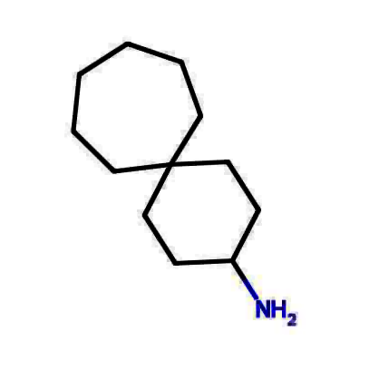 NC1CCC2(CCCCCC2)CC1